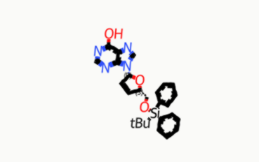 CC(C)(C)[Si](OC[C@@H]1C=C[C@H](n2cnc3c(O)ncnc32)O1)(c1ccccc1)c1ccccc1